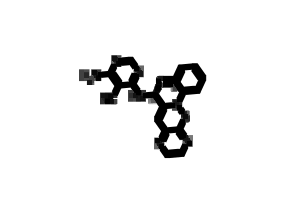 C[C@H](Nc1ncnc(N)c1C#N)C1=Cc2nccnc2SN1c1ccccc1